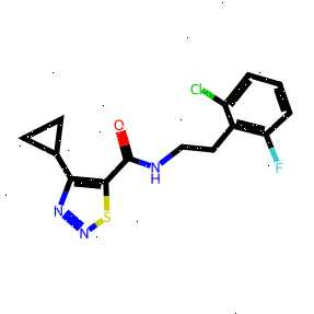 O=C(NCCc1c(F)cccc1Cl)c1snnc1C1CC1